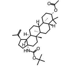 C=C(C)[C@@H]1CC[C@]2(NC(=O)OC(C)(C)C)CC[C@]3(C)[C@H](CC[C@@H]4[C@@]5(C)CC[C@H](OC(C)=O)C(C)(C)[C@@H]5CC[C@]43C)[C@@H]12